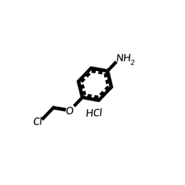 Cl.Nc1ccc(OCCl)cc1